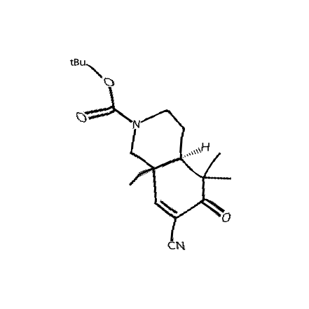 CC(C)(C)OC(=O)N1CC[C@@H]2C(C)(C=C(C#N)C(=O)C2(C)C)C1